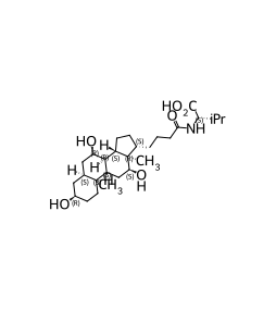 CC(C)[C@H](NC(=O)CCC[C@H]1CC[C@H]2[C@@H]3[C@H](O)C[C@@H]4C[C@H](O)CC[C@]4(C)[C@H]3C[C@H](O)[C@]12C)C(=O)O